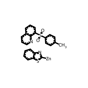 Cc1ccc(S(=O)(=O)c2cccc3cccnc23)cc1.[Zn][c]1nc2ccccc2s1